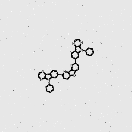 c1ccc(-n2c3cc(-c4ccc5oc6ccc(-c7ccc8c9nccnc9n(-c9ccccc9)c8c7)nc6c5n4)ccc3c3nccnc32)cc1